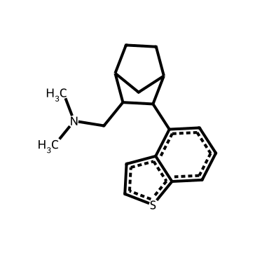 CN(C)CC1C2CCC(C2)C1c1cccc2sccc12